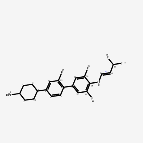 CCCC1CCC(c2ccc(-c3cc(F)c(O/C=C/C(F)F)c(F)c3)c(F)c2)CC1